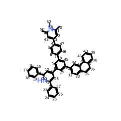 CC1=CC(c2ccc(-c3cc(C4=CC(c5ccccc5)NC(c5ccccc5)=C4)cc(-c4ccc5ccc6ccccc6c5c4)c3)cc2)=CC(C)N1C